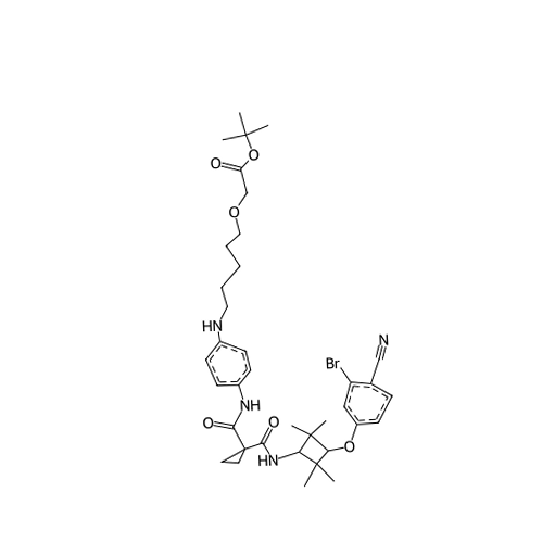 CC(C)(C)OC(=O)COCCCCCNc1ccc(NC(=O)C2(C(=O)NC3C(C)(C)C(Oc4ccc(C#N)c(Br)c4)C3(C)C)CC2)cc1